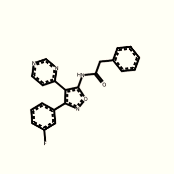 O=C(Cc1ccccc1)Nc1onc(-c2cccc(F)c2)c1-c1ccncn1